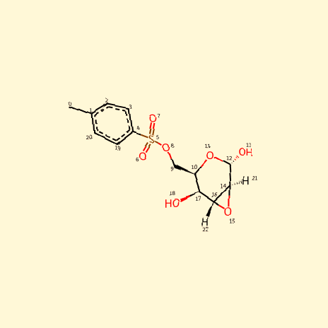 Cc1ccc(S(=O)(=O)OC[C@H]2O[C@H](O)[C@H]3O[C@@H]3[C@H]2O)cc1